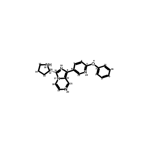 c1ccc(Oc2ccc(-c3nc([C@@H]4CCCN4)n4ccncc34)cn2)cc1